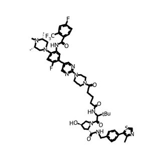 Cc1ncsc1-c1ccc(CNC(=O)[C@@H]2C[C@@H](O)CN2C(=O)C(NC(=O)CCCC(=O)N2CCN(c3ncc(-c4cc(NC(=O)c5ccc(F)cc5C(F)(F)F)c(N5C[C@@H](C)N(C)[C@@H](C)C5)cc4F)cn3)CC2)C(C)(C)C)cc1